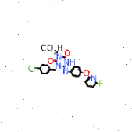 O=C(O)Cn1c(=O)[nH]/c(=N\c2ccc(Oc3cccc(F)n3)cc2)n(Cc2ccc(Cl)cc2)c1=O